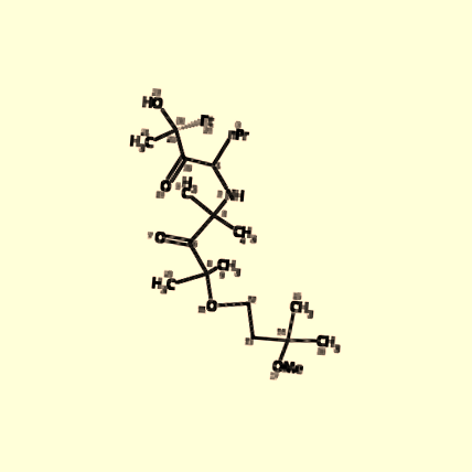 CCCC(NC(C)(C)C(=O)C(C)(C)OCCC(C)(C)OC)C(=O)[C@@](C)(O)CC